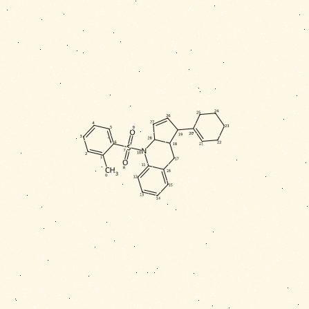 Cc1ccccc1S(=O)(=O)N1c2ccccc2CC2C(C3=CCCCC3)C=CC21